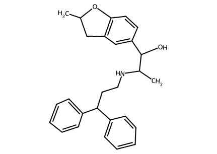 CC1Cc2cc(C(O)C(C)NCCC(c3ccccc3)c3ccccc3)ccc2O1